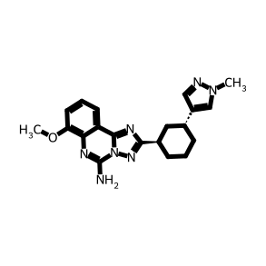 COc1cccc2c1nc(N)n1nc([C@@H]3CCC[C@@H](c4cnn(C)c4)C3)nc21